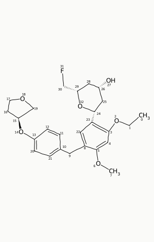 CCOc1cc(OC)c(Cc2ccc(O[C@H]3CCOC3)cc2)cc1[C@H]1C[C@@H](O)C[C@@H](CF)O1